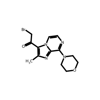 Cc1nc2c(N3CCOCC3)nccn2c1C(=O)CBr